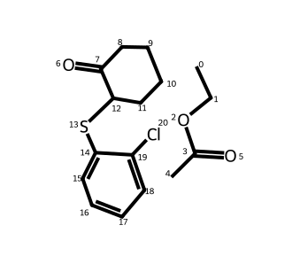 CCOC(C)=O.O=C1CCCCC1Sc1ccccc1Cl